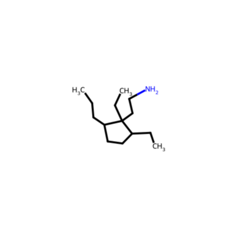 CCCC1CCC(CC)C1(CC)CCN